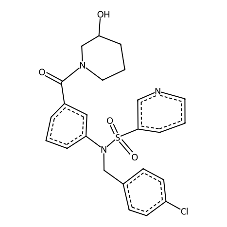 O=C(c1cccc(N(Cc2ccc(Cl)cc2)S(=O)(=O)c2cccnc2)c1)N1CCCC(O)C1